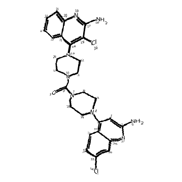 Nc1cc(N2CCN(C(=O)N3CCN(c4c(Cl)c(N)nc5ccccc45)CC3)CC2)c2ccc(Cl)cc2n1